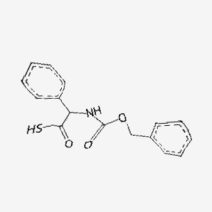 O=C(NC(C(=O)S)c1ccccc1)OCc1ccccc1